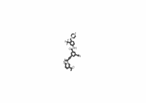 CC(=O)c1ccc2nnc(C#Cc3cc(C#N)cc(C(=O)Nc4ccc(CN5CCN(C)CC5)c(C(F)(F)F)c4)c3)n2c1